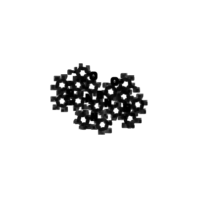 Cc1ccc2oc3cc4c(cc3c2c1)N(c1cccc([Si](c2ccccc2)(c2ccccc2)c2ccccc2)c1)c1cc(N(c2ccccc2)c2ccccc2)cc2c1B4c1cc3oc4ccc(C)cc4c3cc1N2c1cccc([Si](c2ccccc2)(c2ccccc2)c2ccccc2)c1